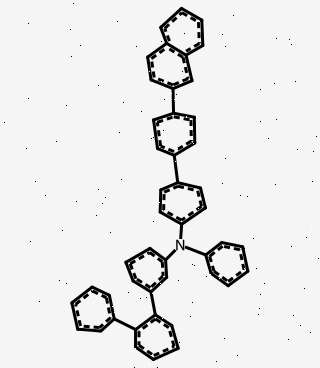 c1ccc(-c2ccccc2-c2cccc(N(c3ccccc3)c3ccc(-c4ccc(-c5ccc6ccccc6c5)cc4)cc3)c2)cc1